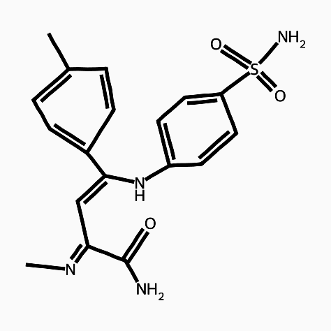 C/N=C(\C=C(/Nc1ccc(S(N)(=O)=O)cc1)c1ccc(C)cc1)C(N)=O